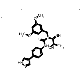 COc1cc(CN(C(=N)C(C)O)C(=O)Nc2ccc(-c3cn[nH]c3)cc2)cc(OC)c1